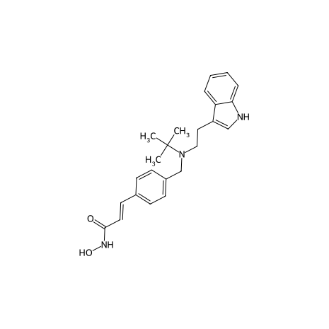 CC(C)(C)N(CCc1c[nH]c2ccccc12)Cc1ccc(/C=C/C(=O)NO)cc1